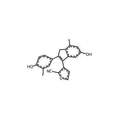 Cc1cc(O)cc2c1CC(c1ccc(O)c(F)c1)=C2c1ccoc1C#N